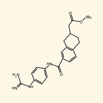 CC(C)(C)OC(=O)CC1CCc2ccc(C(=O)Nc3ccc(NC(=N)N)cc3)cc2C1